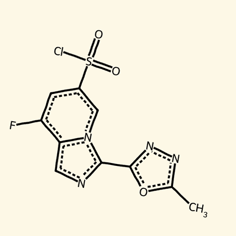 Cc1nnc(-c2ncc3c(F)cc(S(=O)(=O)Cl)cn23)o1